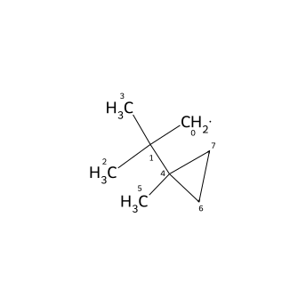 [CH2]C(C)(C)C1(C)CC1